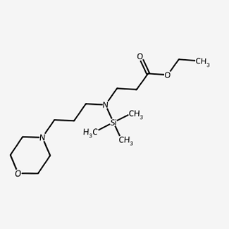 CCOC(=O)CCN(CCCN1CCOCC1)[Si](C)(C)C